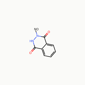 O=Nn1[nH]c(=O)c2ccccc2c1=O